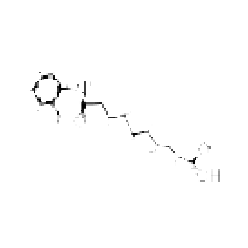 Cc1ccccc1N(C)C(=O)CCCCCCCCC(=O)O